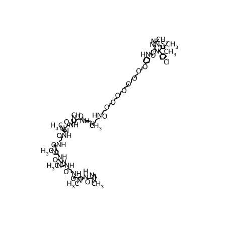 Cc1sc2c(c1C)C(c1ccc(Cl)cc1)=N[C@@H](CC(=O)Nc1ccc(OCCOCCOCCOCCOCCOCCOCCOCCC(=O)NCCCN(C)CCCNC(=O)c3cc(NC(=O)c4nc(NC(=O)CCNC(=O)c5cc(NC(=O)c6nc(NC(=O)CCNC(=O)c7cc(NC(=O)c8nccn8C)cn7C)cn6C)cn5C)cn4C)cn3C)cc1)c1nnc(C)n1-2